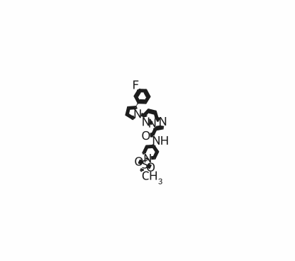 CCS(=O)(=O)N1CCC(NC(=O)c2cnc3ccc(N4CCC[C@@H]4c4cccc(F)c4)nn23)CC1